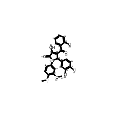 COc1ccc(N2C(=O)C(O)=C(C(=O)c3ccccc3Cl)C2c2ccc(Cl)c(Cl)c2)cc1OC